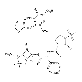 CC1(C)S[C@@H]2[C@H](NC(=O)[C@H](NC(=O)N3CCN(S(C)(=O)=O)C3=O)c3ccccc3)C(=O)N2[C@H]1C(=O)O.COn1cc(C(=O)O)c(=O)c2cc3c(cc21)OCO3